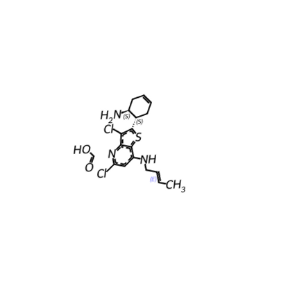 C/C=C/CNc1cc(Cl)nc2c(Cl)c([C@H]3CC=CC[C@@H]3N)sc12.O=CO